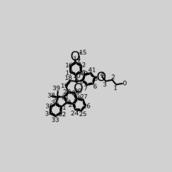 CCCCOc1ccc(C2(c3ccc(OC)cc3)C=Cc3c4c(c5ccccc5c3O2)-c2ccccc2C4(C)C)cc1